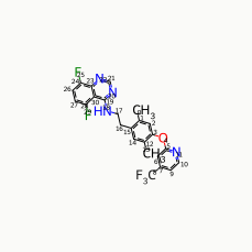 Cc1cc(Oc2cc(C(F)(F)F)ccn2)c(C)cc1CCNc1ncnc2c(F)ccc(F)c12